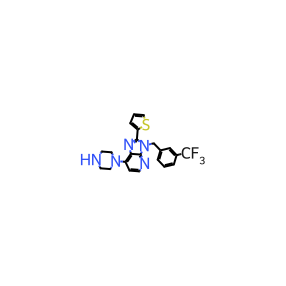 FC(F)(F)c1cccc(Cn2c(-c3cccs3)nc3c(N4CCNCC4)ccnc32)c1